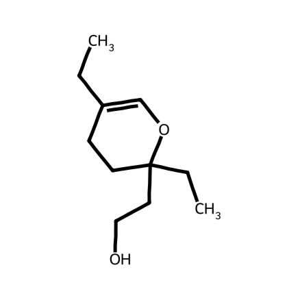 CCC1=COC(CC)(CCO)CC1